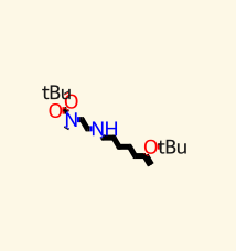 C=C(CCCCCNCCN(C)C(=O)OC(C)(C)C)OC(C)(C)C